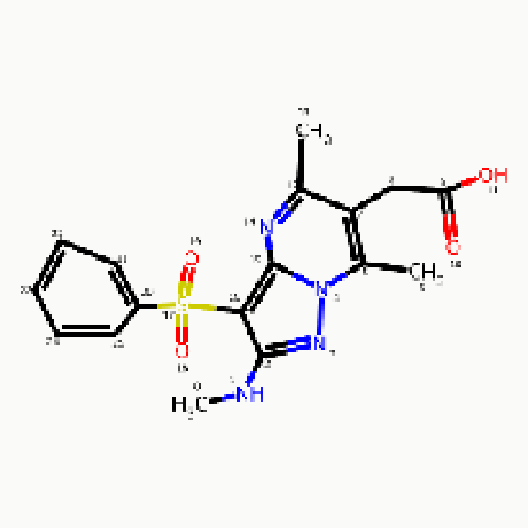 CNc1nn2c(C)c(CC(=O)O)c(C)nc2c1S(=O)(=O)c1ccccc1